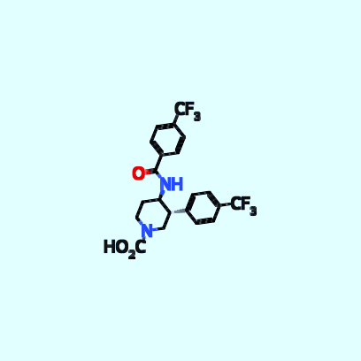 O=C(N[C@@H]1CCN(C(=O)O)C[C@H]1c1ccc(C(F)(F)F)cc1)c1ccc(C(F)(F)F)cc1